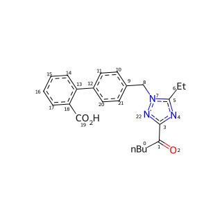 CCCCC(=O)c1nc(CC)n(Cc2ccc(-c3ccccc3C(=O)O)cc2)n1